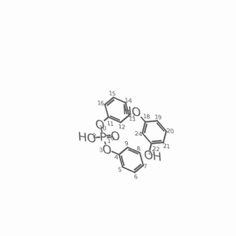 O=P(O)(Oc1ccccc1)Oc1ccccc1.Oc1cccc(O)c1